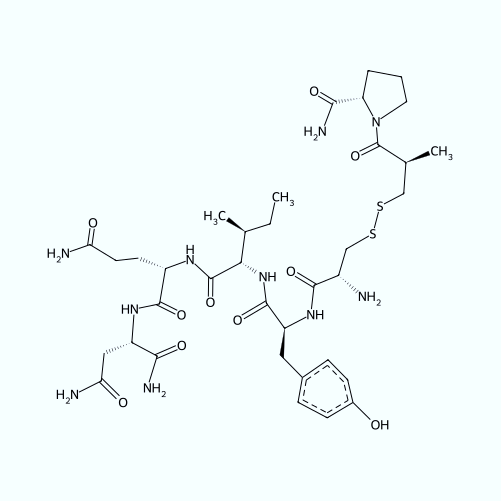 CC[C@H](C)[C@H](NC(=O)[C@H](Cc1ccc(O)cc1)NC(=O)[C@@H](N)CSSC[C@H](C)C(=O)N1CCC[C@H]1C(N)=O)C(=O)N[C@@H](CCC(N)=O)C(=O)N[C@@H](CC(N)=O)C(N)=O